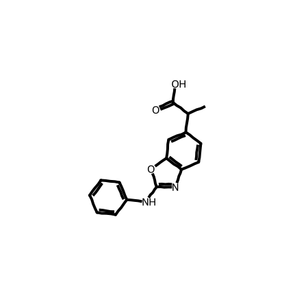 CC(C(=O)O)c1ccc2nc(Nc3ccccc3)oc2c1